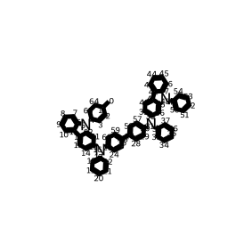 CC1C=CC(n2c3ccccc3c3ccc(N(c4ccccc4)c4ccc(-c5ccc(N(c6ccccc6)c6ccc7c8ccccc8n(-c8ccccc8)c7c6)cc5)cc4)cc32)CC1